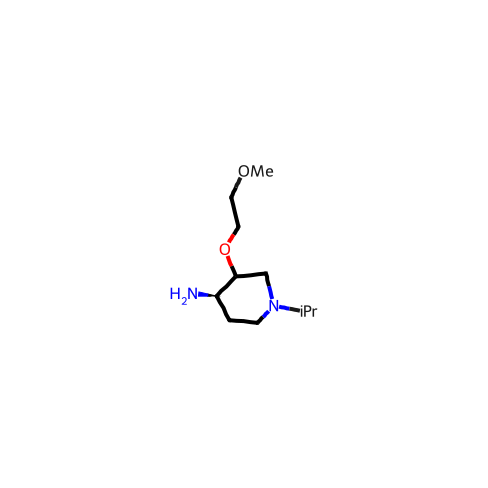 COCCOC1CN(C(C)C)CC[C@H]1N